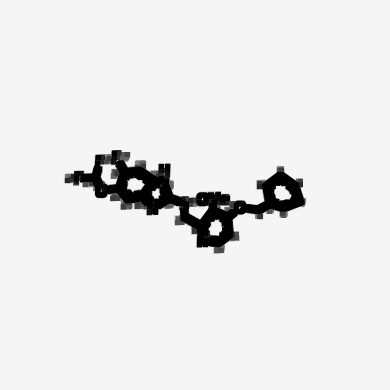 COc1c(OCc2ccccc2)ccnc1CSc1nc2cc(OC(F)F)c(F)cc2[nH]1